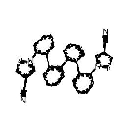 N#Cc1cnn(-c2ccccc2-c2ccccc2-c2ccccc2-c2ccccc2-n2cc(C#N)cn2)c1